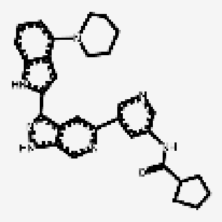 O=C(Nc1cncc(-c2cc3c(-c4cc5c(N6CCCCC6)cccc5[nH]4)n[nH]c3cn2)c1)C1CCCC1